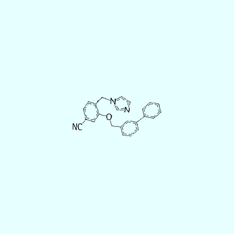 N#Cc1ccc(Cn2ccnc2)c(OCc2cccc(-c3ccccc3)c2)c1